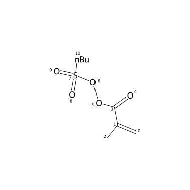 C=C(C)C(=O)OOS(=O)(=O)CCCC